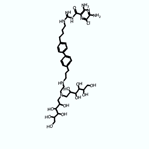 N=C(NCCCCc1ccc(-c2ccc(CCCNCCN(CC(O)C(O)C(O)C(O)CO)CC(O)C(O)C(O)C(O)CO)cc2)cc1)NC(=O)c1nc(Cl)c(N)nc1N